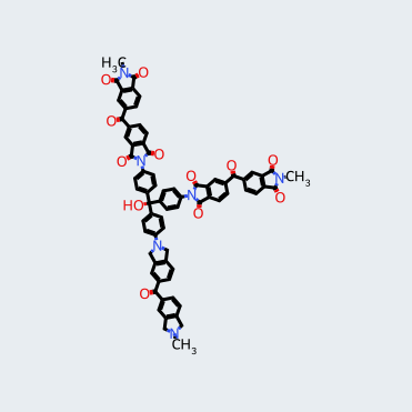 CN1Cc2ccc(C(=O)c3ccc4c(c3)CN(c3ccc(C(O)(c5ccc(N6C(=O)c7ccc(C(=O)c8ccc9c(c8)C(=O)N(C)C9=O)cc7C6=O)cc5)c5ccc(N6C(=O)c7ccc(C(=O)c8ccc9c(c8)C(=O)N(C)C9=O)cc7C6=O)cc5)cc3)C4)cc2C1